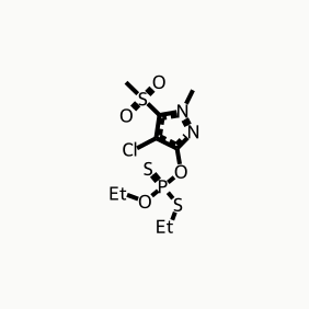 CCOP(=S)(Oc1nn(C)c(S(C)(=O)=O)c1Cl)SCC